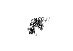 CS(=O)(=O)O.NC1[C@H]2CN(c3nc4c(cc3F)c(=O)c(C(=O)O)cn4-c3ccc(F)cc3F)C[C@@H]12